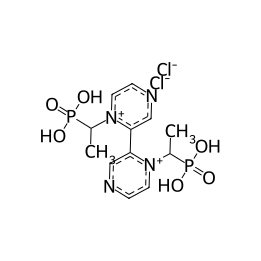 CC([n+]1ccncc1-c1cncc[n+]1C(C)P(=O)(O)O)P(=O)(O)O.[Cl-].[Cl-]